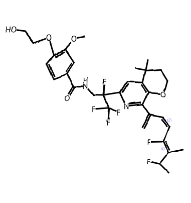 C=C(/C=C\C(F)=C(/C)C(C)F)c1nc(C(F)(CNC(=O)c2ccc(OCCO)c(OC)c2)C(F)(F)F)cc2c1OCCC2(C)C